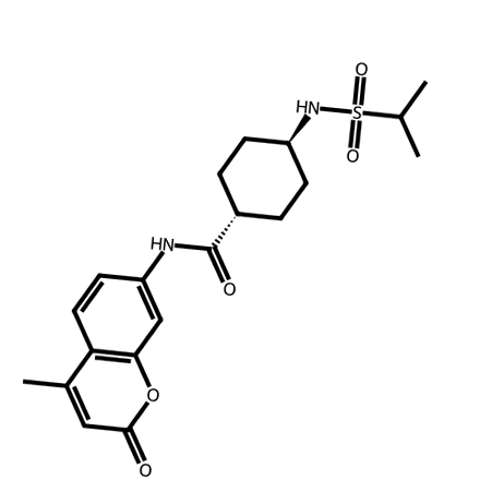 Cc1cc(=O)oc2cc(NC(=O)[C@H]3CC[C@H](NS(=O)(=O)C(C)C)CC3)ccc12